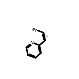 CC(C)/C=C\c1ccccn1